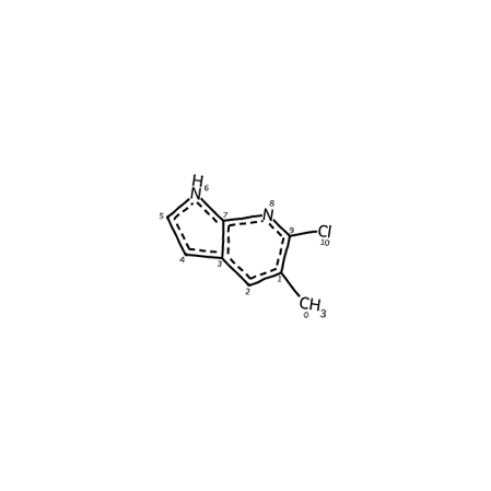 Cc1cc2cc[nH]c2nc1Cl